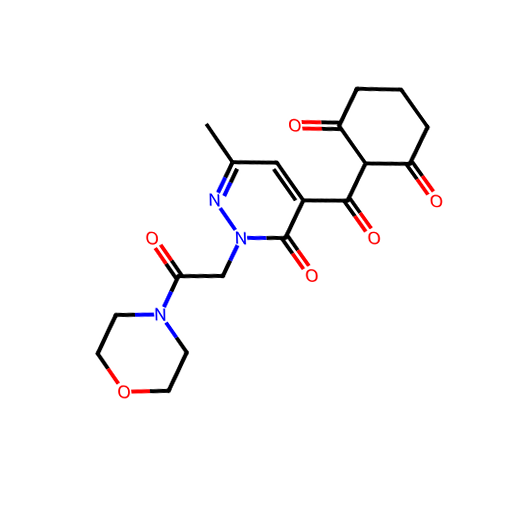 Cc1cc(C(=O)C2C(=O)CCCC2=O)c(=O)n(CC(=O)N2CCOCC2)n1